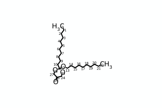 CCCCCCCCCCCC1(OCCCCCCCCCC)OCC(=O)CO1